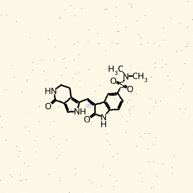 CN(C)S(=O)(=O)c1ccc2c(c1)/C(=C/c1[nH]cc3c1CCNC3=O)C(=O)N2